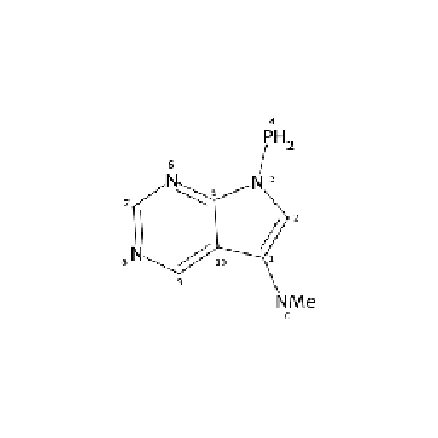 CNc1cn(P)c2ncncc12